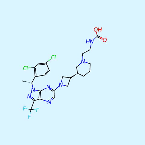 C[C@H](c1ccc(Cl)cc1Cl)n1nc(C(F)(F)F)c2ncc(N3CC([C@@H]4CCCN(CCNC(=O)O)C4)C3)nc21